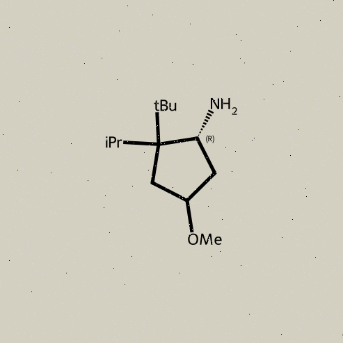 COC1C[C@@H](N)C(C(C)C)(C(C)(C)C)C1